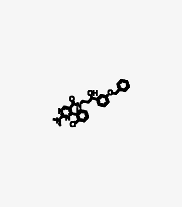 CN(C)c1ncc(C(=O)NCCC(O)c2cccc(OCc3ccccc3)c2)c(-c2ccccc2Cl)n1